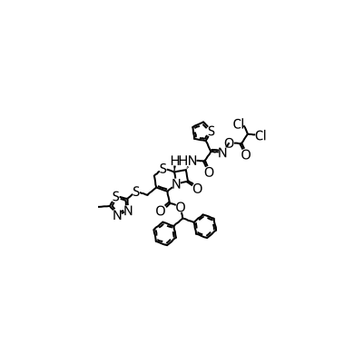 Cc1nnc(SCC2=C(C(=O)OC(c3ccccc3)c3ccccc3)N3C(=O)[C@@H](NC(=O)/C(=N/OC(=O)C(Cl)Cl)c4cccs4)[C@H]3SC2)s1